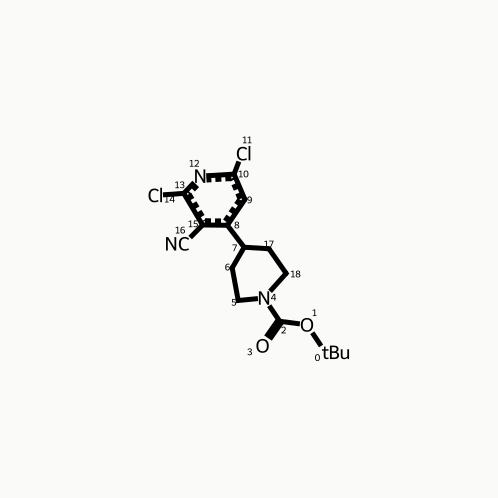 CC(C)(C)OC(=O)N1CCC(c2cc(Cl)nc(Cl)c2C#N)CC1